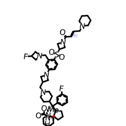 COC(=O)N[C@H]1CCC[C@@H]1[C@](CN1CCCCC1)(c1cccc(F)c1)C1CCN(CC2CN(c3ccc(S(=O)(=O)C4CN(C(=O)/C=C/CN5CCCCC5)C4)c(CN4CC(F)C4)c3)C2)CC1